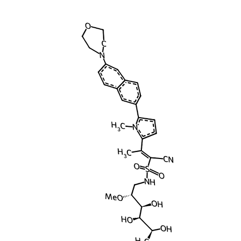 CO[C@H](CNS(=O)(=O)/C(C#N)=C(\C)c1ccc(-c2ccc3cc(N4CCOCC4)ccc3c2)n1C)[C@@H](O)[C@H](O)[C@H](C)O